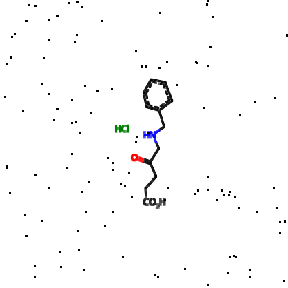 Cl.O=C(O)CCC(=O)CNCc1ccccc1